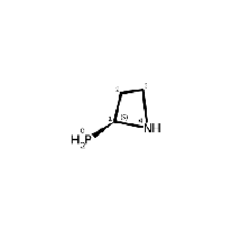 P[C@H]1CCN1